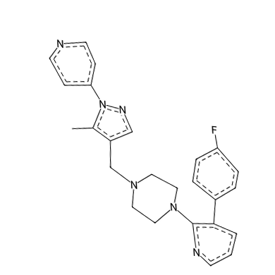 Cc1c(CN2CCN(c3ncccc3-c3ccc(F)cc3)CC2)cnn1-c1ccncc1